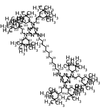 CC1(C)CC(CCN(c2nc(NCCCCCCCCCCCCNc3nc(N(CCC4CC(C)(C)NC(C)(C)C4)C4CC(C)(C)NC(C)(C)C4)nc(N(CCC4CC(C)(C)NC(C)(C)C4)C4CC(C)(C)NC(C)(C)C4)n3)nc(N(CCC3CC(C)(C)NC(C)(C)C3)C3CC(C)(C)NC(C)(C)C3)n2)C2CC(C)(C)NC(C)(C)C2)CC(C)(C)N1